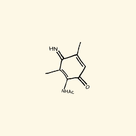 CC(=O)NC1=C(C)C(=N)C(C)=CC1=O